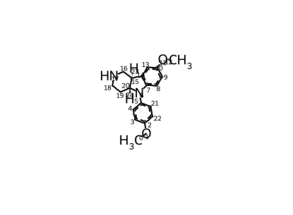 COc1ccc(N2c3ccc(OC)cc3[C@@H]3CNCC[C@H]32)cc1